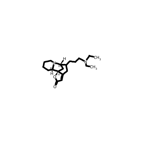 CCN(CC)CCCC1CC2=CC(=O)O[C@@]23C[C@@H]1N1CCCC[C@@H]13